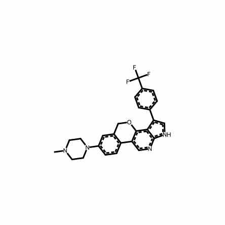 CN1CCN(c2ccc3c(c2)COc2c-3cnc3[nH]cc(-c4ccc(C(F)(F)F)cc4)c23)CC1